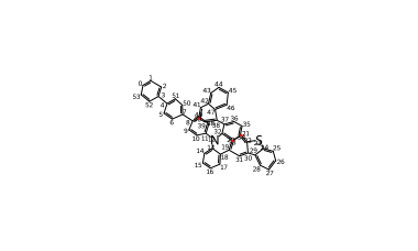 c1ccc(-c2ccc(-c3ccc(N(c4ccccc4-c4ccc5sc6ccccc6c5c4)c4ccccc4-c4cccc5ccccc45)cc3)cc2)cc1